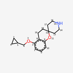 c1cc(OCC2CC2)c2c(c1)OC1(CCNCC1)CC2